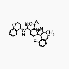 Cc1nn2c(C3(O)CC3)c(C(=O)N[C@H]3CCOc4ccccc43)ccc2c1-c1c(F)cccc1F